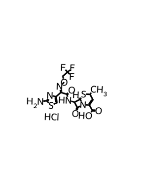 CC1C=C(C(=O)O)N2C(=O)C(NC(=O)/C(=N\OCC(F)(F)F)c3csc(N)n3)[C@@H]2S1.Cl